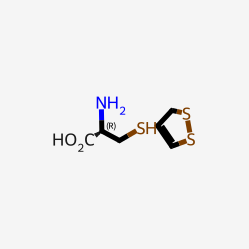 C1=CSSC1.N[C@@H](CS)C(=O)O